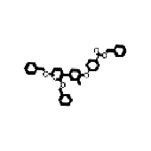 Cc1cc(-c2ccc(OCc3ccccc3)nc2OCc2ccccc2)ccc1O[C@H]1CC[C@H](C(=O)OCc2ccccc2)CC1